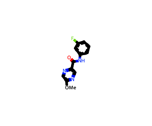 COc1cnc(C(=O)Nc2cccc(F)c2)cn1